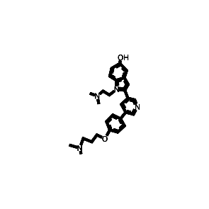 CN(C)CCCOc1ccc(-c2cncc(-c3cc4cc(O)ccc4n3CCN(C)C)c2)cc1